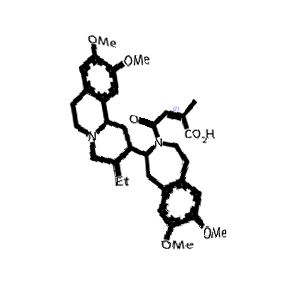 CCC1CN2CCc3cc(OC)c(OC)cc3C2CC1C1Cc2cc(OC)c(OC)cc2CCN1C(=O)/C=C(/C)C(=O)O